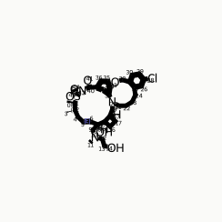 C[C@@H]1[C@@H](C)C/C=C/[C@](O)(CN(C)CCO)[C@@H]2CC[C@H]2CN2CCCCc3cc(Cl)ccc3COc3ccc(cc32)C(=O)NS1(=O)=O